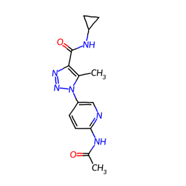 CC(=O)Nc1ccc(-n2nnc(C(=O)NC3CC3)c2C)cn1